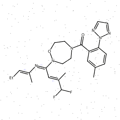 CC/C=C(C)/N=C(\C=C(/C)C(F)F)N1CCN(C(=O)c2cc(C)ccc2-n2nccn2)CCO1